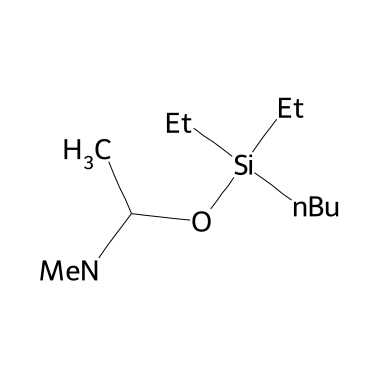 CCCC[Si](CC)(CC)OC(C)NC